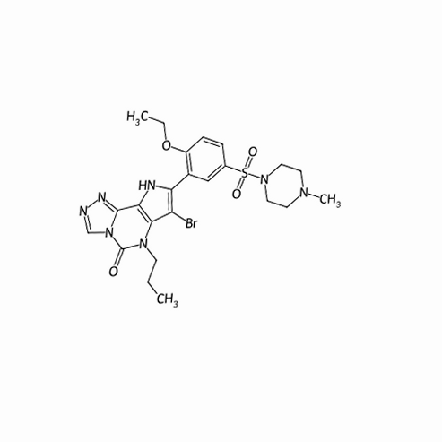 CCCn1c(=O)n2cnnc2c2[nH]c(-c3cc(S(=O)(=O)N4CCN(C)CC4)ccc3OCC)c(Br)c21